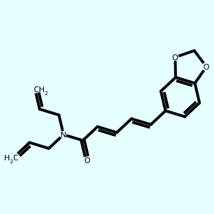 C=CCN(CC=C)C(=O)/C=C/C=Cc1ccc2c(c1)OCO2